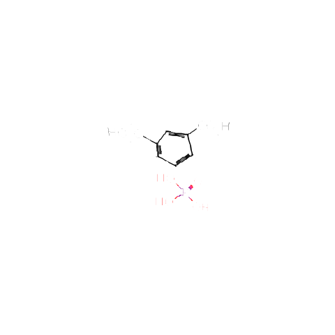 O=C(O)c1cccc(C(=O)O)c1.O=P(O)(O)O